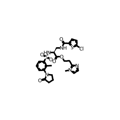 Cc1c(N2CCCC2=O)cccc1S(=O)(=O)N[C@@H](CNC(=O)c1ccc(Cl)s1)C(=O)OCCc1nccn1C